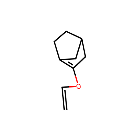 C=COC1=C2CCC(C2)C1